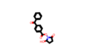 O=C(ON1C(=O)CCC1O)c1ccc(C(=O)c2ccccc2)cc1